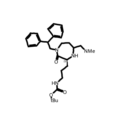 CNCC1CCN(CC(c2ccccc2)c2ccccc2)C(=O)[C@H](CCCNC(=O)OC(C)(C)C)N1